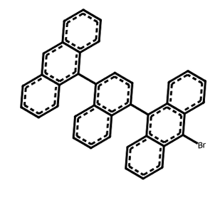 Brc1c2ccccc2c(-c2ccc(-c3c4ccccc4cc4ccccc34)c3ccccc23)c2ccccc12